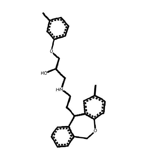 Cc1cccc(OCC(O)CNCCC2c3ccccc3COc3ccc(C)cc32)c1